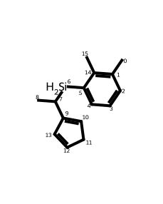 Cc1cccc([SiH2]C(C)C2=CCC=C2)c1C